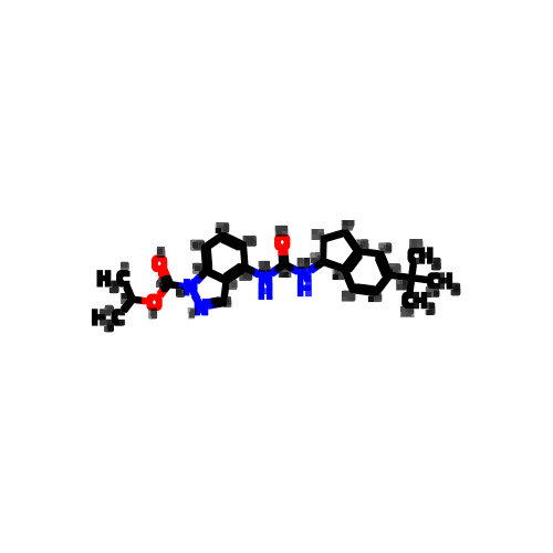 CC(C)OC(=O)n1ncc2c(NC(=O)NC3CCc4cc(C(C)(C)C)ccc43)cccc21